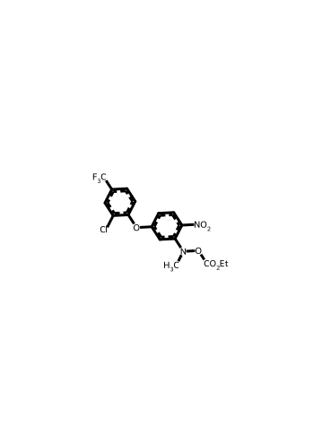 CCOC(=O)ON(C)c1cc(Oc2ccc(C(F)(F)F)cc2Cl)ccc1[N+](=O)[O-]